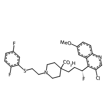 COc1ccc2ncc(Cl)c([C@H](F)CCC3(C(=O)O)CCN(CCSc4cc(F)ccc4F)CC3)c2c1